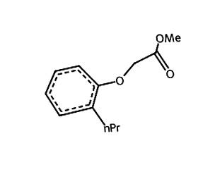 CCCc1ccccc1OCC(=O)OC